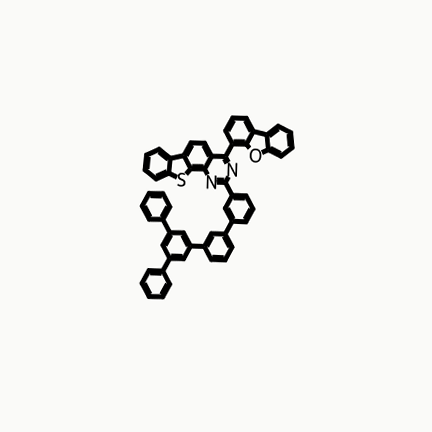 c1ccc(-c2cc(-c3ccccc3)cc(-c3cccc(-c4cccc(-c5nc(-c6cccc7c6oc6ccccc67)c6ccc7c8ccccc8sc7c6n5)c4)c3)c2)cc1